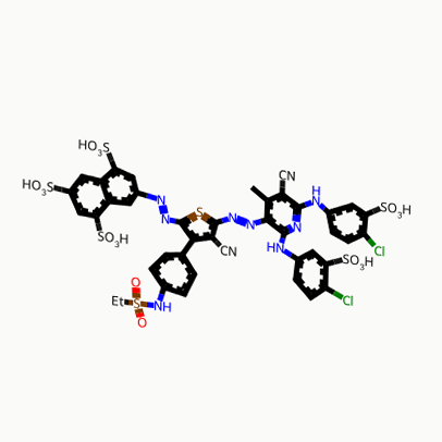 CCS(=O)(=O)Nc1ccc(-c2c(N=Nc3cc(S(=O)(=O)O)c4cc(S(=O)(=O)O)cc(S(=O)(=O)O)c4c3)sc(N=Nc3c(Nc4ccc(Cl)c(S(=O)(=O)O)c4)nc(Nc4ccc(Cl)c(S(=O)(=O)O)c4)c(C#N)c3C)c2C#N)cc1